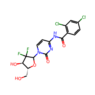 O=C(Nc1ccn(C2O[C@H](CO)[C@@H](O)C2(F)F)c(=O)n1)c1ccc(Cl)cc1Cl